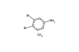 C.Nc1ccc(Br)c(Br)c1